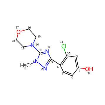 Cn1nc(-c2ccc(O)cc2Cl)nc1N1CCOCC1